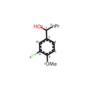 CCCC(O)c1ccc(OC)c(F)c1